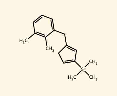 Cc1cccc(CC2=CC([Si](C)(C)C)=CC2)c1C